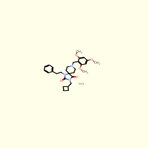 COc1cc(OC)c(CN2CCC3(CC2)C(=O)N(CC2CCC2)C(=O)N3CCc2ccccc2)c(OC)c1.Cl